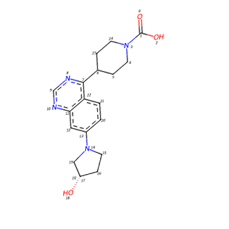 O=C(O)N1CCC(c2ncnc3cc(N4CC[C@H](O)C4)ccc23)CC1